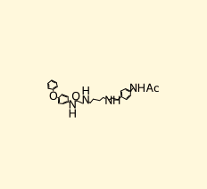 CC(=O)Nc1ccc(CCNCCCCNCC(=O)Nc2ccc(Oc3ccccc3)cc2)cc1